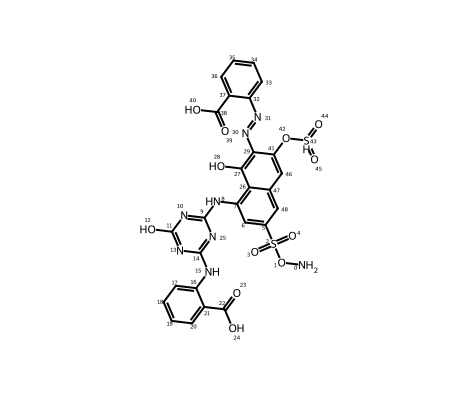 NOS(=O)(=O)c1cc(Nc2nc(O)nc(Nc3ccccc3C(=O)O)n2)c2c(O)c(N=Nc3ccccc3C(=O)O)c(O[SH](=O)=O)cc2c1